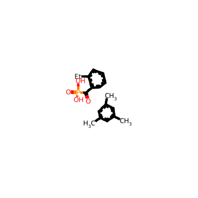 CCc1ccccc1C(=O)P(=O)(O)O.Cc1cc(C)cc(C)c1